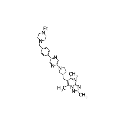 CCN1CCN(Cc2ccc(-c3cnc(N4CCC(Cc5c(C)nc6nc(C)nn6c5C)C4)cn3)cc2)CC1